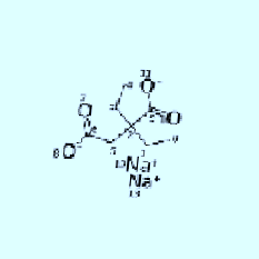 CCC(CC)(CC(=O)[O-])C(=O)[O-].[Na+].[Na+]